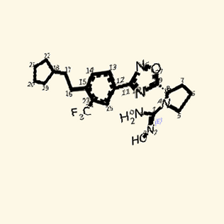 N/C(=N\O)N1CCC[C@H]1c1nc(-c2ccc(CCC3CCCC3)c(C(F)(F)F)c2)no1